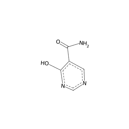 NC(=O)c1cncnc1O